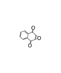 O=c1c2oc=2c(=O)c2ccccc12